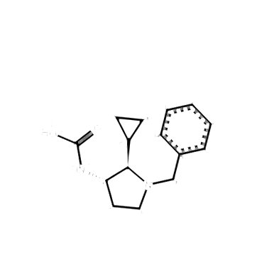 O=C(O)N[C@H]1CCN(Cc2ccccc2)[C@@H]1C1CC1